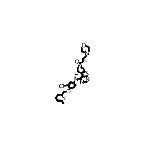 Cc1cccc(COc2ccc(Nc3ncnc4sc5c(c34)CCN(C(=O)/C=C/CN3CCOCC3)C5)cc2Cl)n1